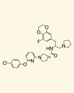 O=C(NC(Cc1cc(F)c2c(c1)OCCO2)CN1CCCC1)[C@@H]1CCN(c2cccc(Oc3ccc(Cl)cc3)n2)C1